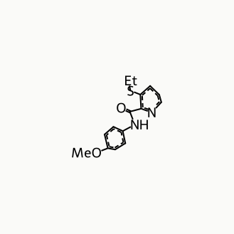 CCSc1cccnc1C(=O)Nc1ccc(OC)cc1